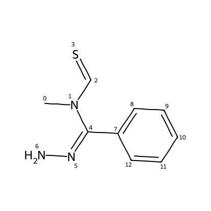 CN(C=S)C(=NN)c1ccccc1